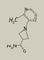 Cc1ncccc1N1CC(C(N)=O)C1